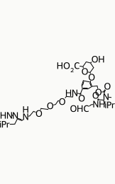 CC(C)C/C(=C/NCCOCCOCCOCCNC(=O)c1ccc(OC2CC(O)CC(C(=O)O)O2)c(COC(=O)N(C)C(C(=O)NCC=O)C(C)C)c1)N=N